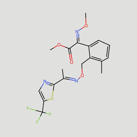 CO/N=C(/C(=O)OC)c1cccc(C)c1CO/N=C(\C)c1ncc(C(F)(F)F)s1